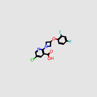 O=C(O)c1cc(Cl)cnc1N1CC(Oc2ccc(F)cc2F)C1